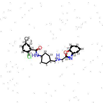 O=C(NC1CCC(CNCc2nc3ccccc3o2)CC1)c1cc(C(F)(F)F)ccc1Cl